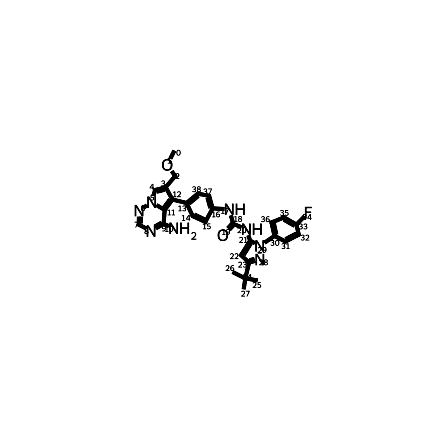 COCc1cn2ncnc(N)c2c1-c1ccc(NC(=O)Nc2cc(C(C)(C)C)nn2-c2ccc(F)cc2)cc1